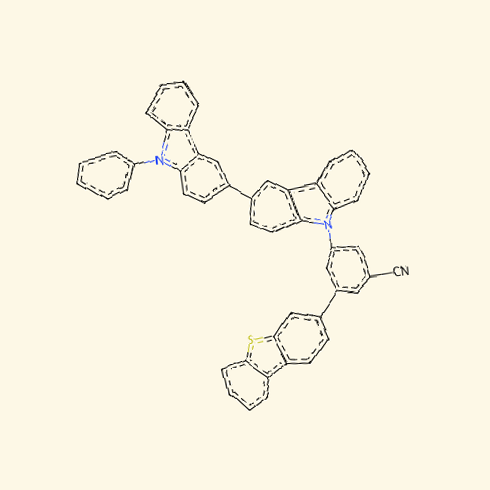 N#Cc1cc(-c2ccc3c(c2)sc2ccccc23)cc(-n2c3ccccc3c3cc(-c4ccc5c(c4)c4ccccc4n5-c4ccccc4)ccc32)c1